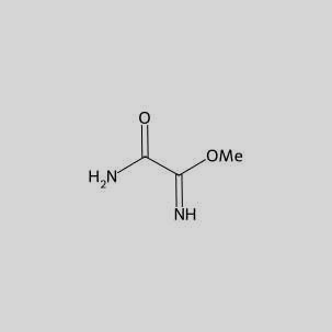 COC(=N)C(N)=O